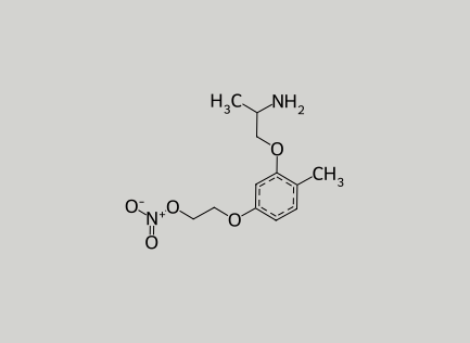 Cc1ccc(OCCO[N+](=O)[O-])cc1OCC(C)N